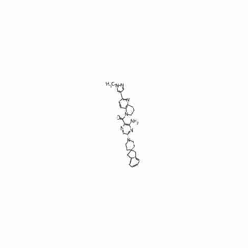 Cn1cc(-c2ccc3c(n2)CCCN3C(=O)c2ncc(N3CCC4(CC3)Cc3ccccc3C4)nc2N)cn1